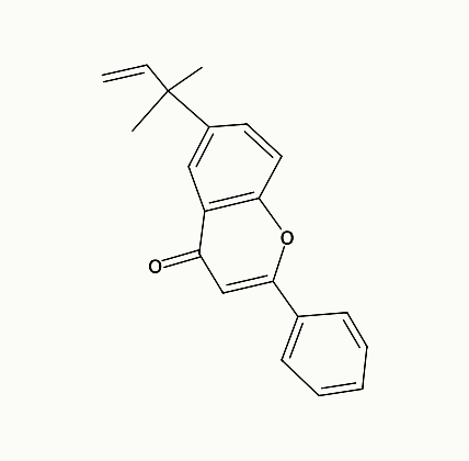 C=CC(C)(C)c1ccc2oc(-c3ccccc3)cc(=O)c2c1